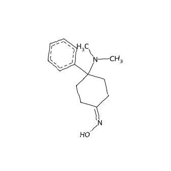 CN(C)C1(c2ccccc2)CCC(=NO)CC1